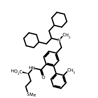 CSCC[C@H](NC(=O)c1ccc(CN(C)C(CC2CCCCC2)CC2CCCCC2)cc1-c1ccccc1C)C(=O)O